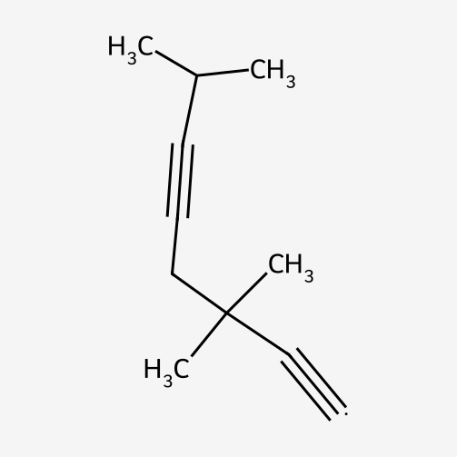 [C]#CC(C)(C)CC#CC(C)C